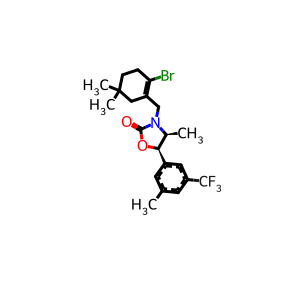 Cc1cc([C@H]2OC(=O)N(CC3=C(Br)CCC(C)(C)C3)[C@H]2C)cc(C(F)(F)F)c1